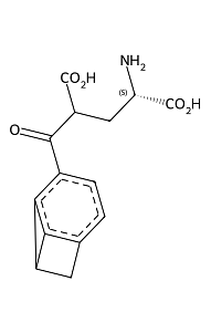 N[C@@H](CC(C(=O)O)C(=O)c1ccc2c3c1C3C2)C(=O)O